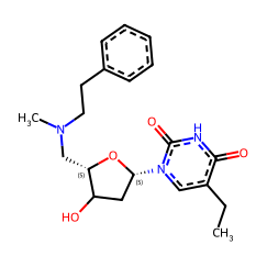 CCc1cn([C@@H]2CC(O)[C@H](CN(C)CCc3ccccc3)O2)c(=O)[nH]c1=O